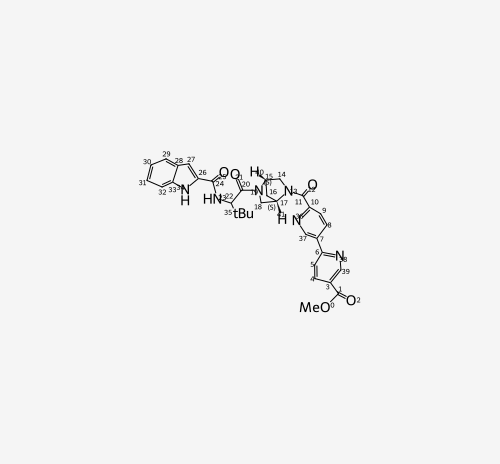 COC(=O)c1ccc(-c2ccc(C(=O)N3C[C@@H]4C[C@H]3CN4C(=O)C(NC(=O)c3cc4ccccc4[nH]3)C(C)(C)C)nc2)nc1